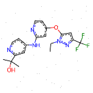 CCn1nc(C(F)(F)F)cc1Oc1ccnc(Nc2ccnc(C(C)(C)O)c2)c1